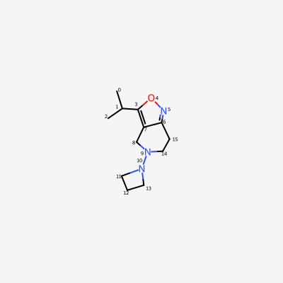 CC(C)c1onc2c1CN(N1CCC1)CC2